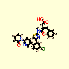 CN(C(=O)[C@@H](CC(=O)O)Cc1ccccc1)c1nc(-c2cc(Cl)ccc2-c2ccc(N3CCCCC3=O)nc2)cs1